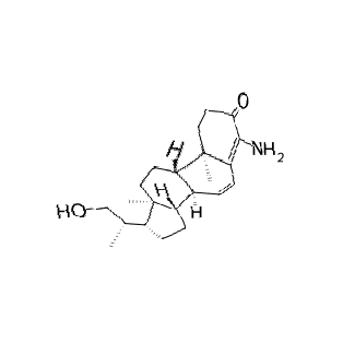 C[C@H](CO)[C@H]1CC[C@H]2[C@@H]3C=CC4=C(N)C(=O)CC[C@]4(C)[C@H]3CC[C@]12C